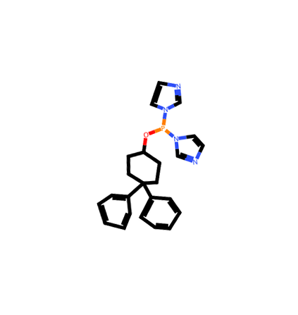 c1ccc(C2(c3ccccc3)CCC(OP(n3ccnc3)n3ccnc3)CC2)cc1